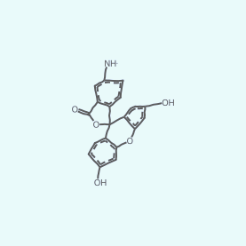 [NH]c1ccc2c(c1)C(=O)OC21c2ccc(O)cc2Oc2cc(O)ccc21